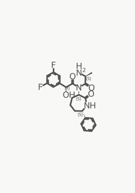 C[C@H](N)C(=O)N(C(=O)[C@H](O)c1cc(F)cc(F)c1)[C@H]1CCC[C@@H](c2ccccc2)NC1=O